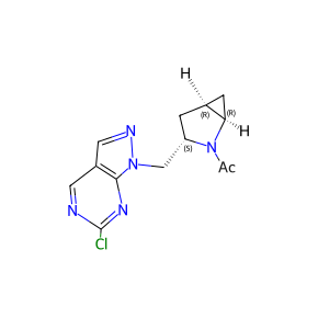 CC(=O)N1[C@H](Cn2ncc3cnc(Cl)nc32)C[C@H]2C[C@H]21